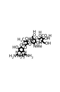 CNC1C(OC2C(OC3C(O)C(O)C(N=C(N)N)C(O)C3N=C(N)N)OC(C)C2(O)C=O)OC(CO)C(OC2OC(CO)C(O)C2(O)C(=O)O)C1O